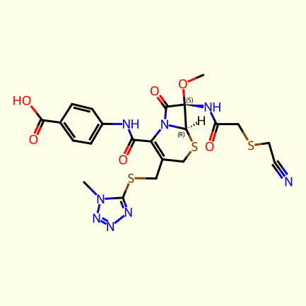 CO[C@@]1(NC(=O)CSCC#N)C(=O)N2C(C(=O)Nc3ccc(C(=O)O)cc3)=C(CSc3nnnn3C)CS[C@@H]21